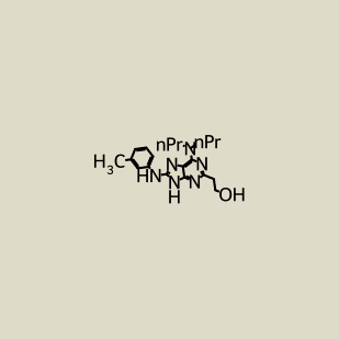 CCCN(CCC)c1nc(CCO)nc2[nH]c(Nc3cccc(C)c3)nc12